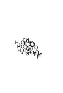 CN([C@H]1c2cc(OCCC(F)(F)F)ccc2OC(C)(C)[C@@H]1O)S(C)(=O)=O